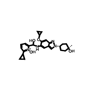 C[C@]1(O)CC[C@H](n2cc3cc(NC(O)c4cccc(C5CC5)[n+]4O)c(OC4CC4)cc3n2)CC1